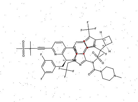 CN1CCN(C(=O)N(c2nn(CC(F)(F)F)c3c(-c4ccc(C#CC(C)(C)S(C)(=O)=O)nc4[C@H](Cc4cc(F)cc(F)c4)NC(=O)Cn4nc(C(F)(F)F)c5c4C(F)(F)[C@@H]4CC[C@H]54)ccc(Cl)c23)S(C)(=O)=O)CC1